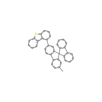 Cc1ccc2c(c1)C1(c3ccccc3-c3ccccc31)c1cc(-c3cccc4sc5ccccc5c34)ccc1-2